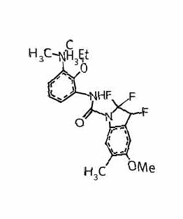 CCOc1c(NC(=O)N2c3cc(C)c(OC)cc3C(F)C2(F)F)cccc1N(C)C